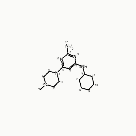 CN1CCN(c2cc(NC3CCCCC3)nc(N)n2)CC1